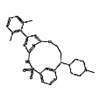 Cc1cccc(C)c1-c1cc2nc(n1)NS(=O)(=O)c1cccc(c1)C(C1CCN(C)CC1)CCO2